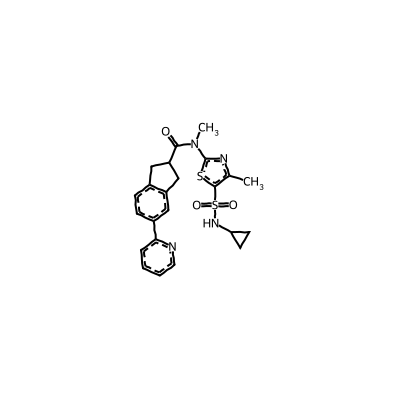 Cc1nc(N(C)C(=O)C2Cc3ccc(-c4ccccn4)cc3C2)sc1S(=O)(=O)NC1CC1